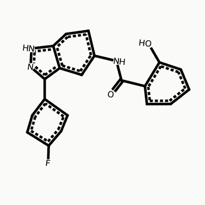 O=C(Nc1ccc2[nH]nc(-c3ccc(F)cc3)c2c1)c1ccccc1O